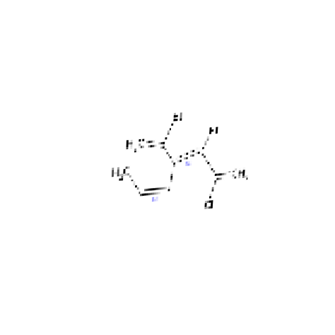 C=C(CC)C(/C=C\C)=C(\CC)C(=C)Cl